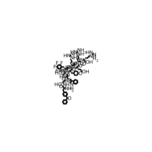 N=C(N)NCCC[C@H](NC(=O)[C@@H](CCC(=O)O)NC(=O)[C@H](CCCNC(=N)N)NC(=O)[C@@H](CC1CCCCC1)NC(=O)[C@H](Cc1c(F)c(F)c(F)c(F)c1F)NC(=O)[C@@H](CO)NC(=O)[C@H](Cc1c[nH]c2ccccc12)NC(=O)[C@@H](CO)NC(=O)[C@@H](N)Cc1ccc(C(=O)c2ccccc2)cc1)C(=O)N[C@H](CCCNC(=N)N)C(=O)O